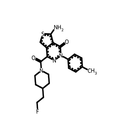 Cc1ccc(-n2nc(C(=O)N3CCC(CCF)CC3)c3csc(N)c3c2=O)cc1